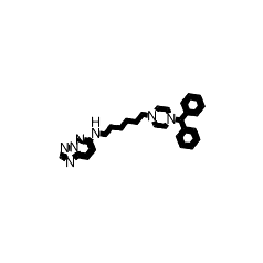 c1ccc(C(c2ccccc2)N2CCN(CCCCCCNc3ccc4ncnn4n3)CC2)cc1